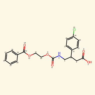 O=C(O)CC(CNC(=O)OCCOC(=O)c1ccccc1)c1ccc(Cl)cc1